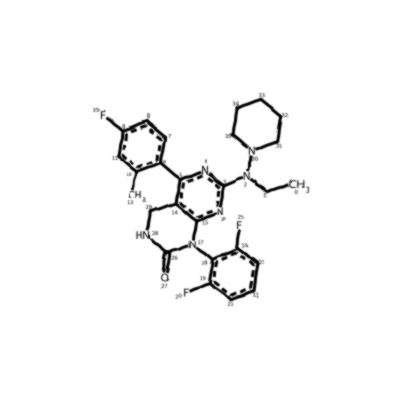 CCN(c1nc(-c2ccc(F)cc2C)c2c(n1)N(c1c(F)cccc1F)C(=O)NC2)N1CCCCC1